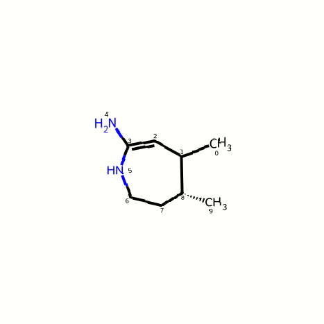 CC1C=C(N)NCC[C@H]1C